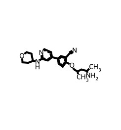 CC(N)CC(C)COc1ccc(-c2ccnc(NC3CCOCC3)c2)cc1C#N